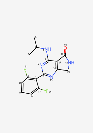 CC(C)Nc1nc(-c2c(F)cccc2F)nc2c1C(=O)NC2